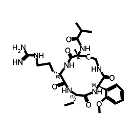 CC[C@@H]1NC(=O)[C@H](CCCNC(=N)N)NC(=O)[C@](C)(NC(=O)C(C)C)CCNC(=O)[C@@H](c2ccccc2OC)NC1=O